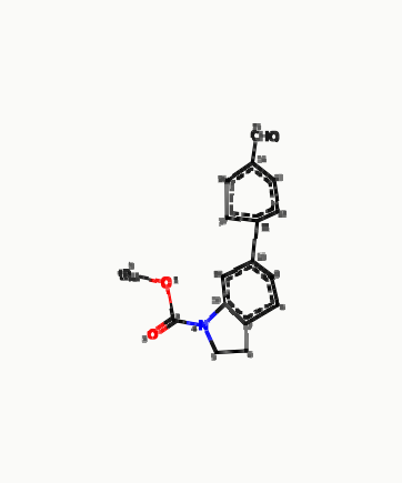 CC(C)(C)OC(=O)N1CCc2ccc(-c3ccc(C=O)cc3)cc21